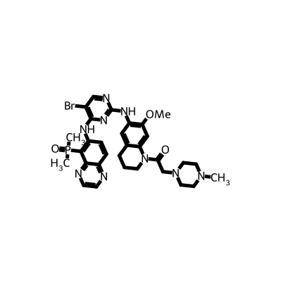 COc1cc2c(cc1Nc1ncc(Br)c(Nc3ccc4nccnc4c3P(C)(C)=O)n1)CCCN2C(=O)CN1CCN(C)CC1